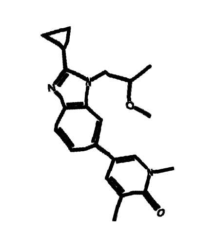 COC(C)Cn1c(C2CC2)nc2ccc(-c3cc(C)c(=O)n(C)c3)cc21